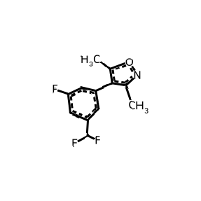 Cc1noc(C)c1-c1cc(F)cc(C(F)F)c1